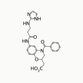 O=C(O)CC1CN(C(=O)c2ccccc2)c2cc(NC(=O)CCNc3ncc[nH]3)ccc2O1